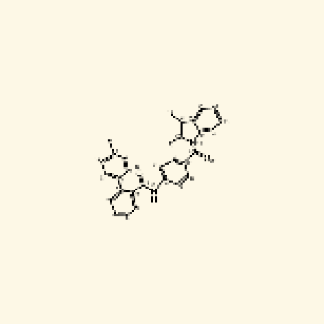 Cc1ccc(-c2ccccc2C(=O)Nc2ccc(C(=O)N3c4ccccc4C(C)C3C)cc2)cc1